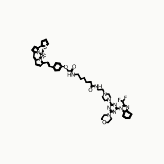 O=C(CCCCCNC(=O)COc1ccc(C=CC2=[N+]3C(=Cc4ccc(-c5cccs5)n4[B-]3(F)F)C=C2)cc1)NCCN1CCN(c2nc(N3CCOCC3)nc(-n3c(C(F)F)nc4ccccc43)n2)CC1